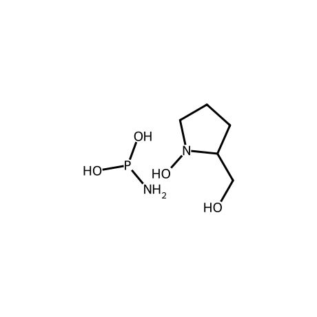 NP(O)O.OCC1CCCN1O